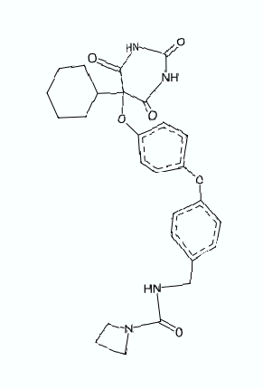 O=C1NC(=O)C(Oc2ccc(Oc3ccc(CNC(=O)N4CCC4)cc3)cc2)(C2CCCCC2)C(=O)N1